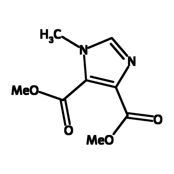 COC(=O)c1ncn(C)c1C(=O)OC